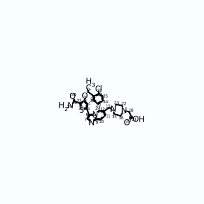 C[C@@H](Oc1cc(-c2cnc3ccc(CN4CCN(CC(=O)O)CC4)cn23)sc1C(N)=O)c1ccccc1Cl